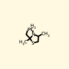 CC(C)CC1(C)SCC(C)N1C